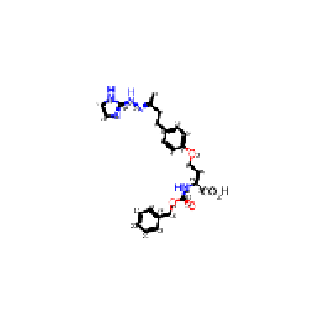 CC(CCc1ccc(OCC[C@H](NC(=O)OCc2ccccc2)C(=O)O)cc1)=NNC1=NCCN1